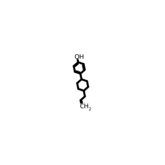 C=CCC1CCC(c2ccc(O)cc2)CC1